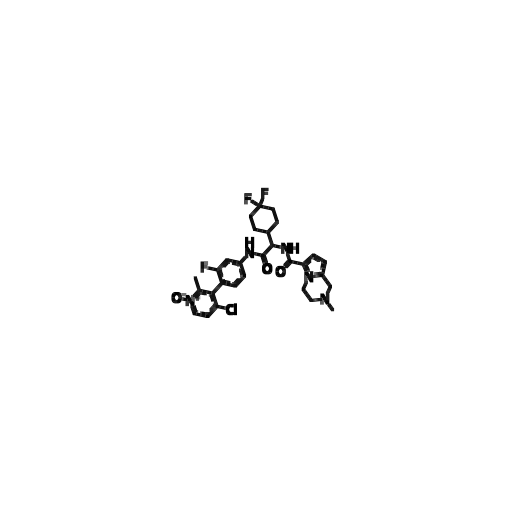 Cc1c(-c2ccc(NC(=O)C(NC(=O)c3ccc4n3CCN(C)C4)C3CCC(F)(F)CC3)cc2F)c(Cl)cc[n+]1[O-]